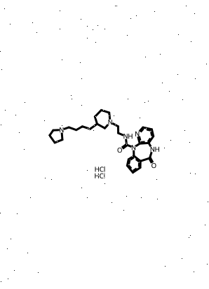 Cl.Cl.O=C1Nc2cccnc2N(C(=O)NCCN2CCCC(CCCCN3CCCC3)C2)c2ccccc21